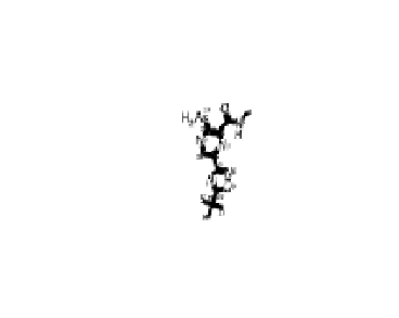 CNC(=O)c1nc(-c2noc(C(C)(C)C)n2)cnc1[AsH2]